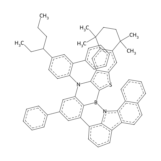 CCCC(CC)c1ccc(N2c3cc(-c4ccccc4)cc4c3B(c3sc5cc6c(cc5c32)C(C)(C)CCC6(C)C)n2c3c-4cccc3c3ccc4ccccc4c32)c(-c2ccccc2)c1